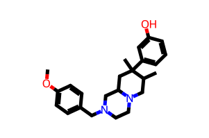 COc1ccc(CN2CCN3CC(C)C(C)(c4cccc(O)c4)CC3C2)cc1